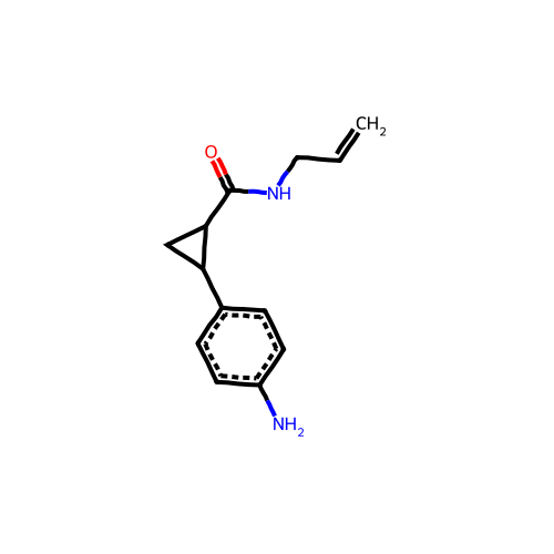 C=CCNC(=O)C1CC1c1ccc(N)cc1